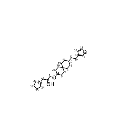 OC(COC1CCC2(CCC(CCc3ccoc3)CC2)CC1)CN1CCCC1